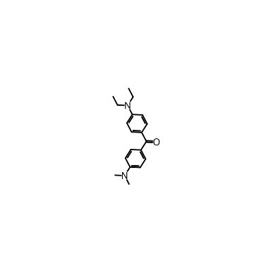 CCN(CC)c1ccc(C(=O)c2ccc(N(C)C)cc2)cc1